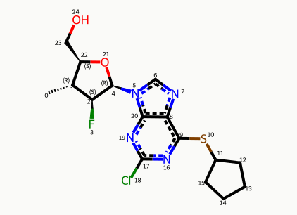 C[C@H]1[C@H](F)[C@H](n2cnc3c(SC4CCCC4)nc(Cl)nc32)O[C@@H]1CO